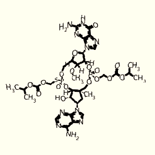 CO[C@H]1[C@H]2O[P@@](=O)(OCOC(=O)OC(C)C)OC[C@@]3(C)C[C@@H](n4cnc5c(N)ncnc54)[C@H](O)[C@@H]3O[P@@](=O)(SCOC(=O)OC(C)C)OC[C@H]1O[C@H]2n1cnc2c(=O)[nH]c(N)nc21